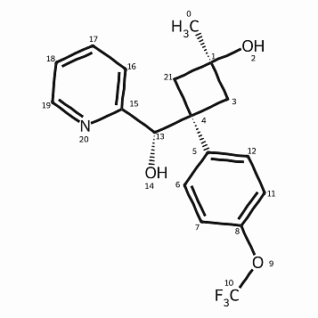 C[C@]1(O)C[C@@](c2ccc(OC(F)(F)F)cc2)([C@H](O)c2ccccn2)C1